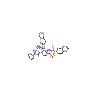 CCOC(=O)c1nn(-c2ccccc2)c(C)c1-c1ccc(C(=O)NS(=O)(=O)c2ccc3ccccc3c2)cc1C(=O)N1CCc2ccccc2C1